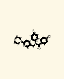 O=C(c1ccc(Cl)cc1)N(Cc1ccc(N2CCSCC2)nc1)c1ccc(F)cc1